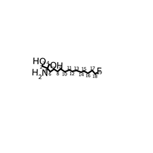 NC(CO)(CO)CCCCCCCCCCCCCF